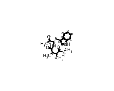 CNC(=O)C(C)C(C)C(=O)N[C@@H](Cc1c[nH]c2ccccc12)C(C)=O